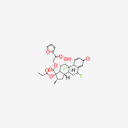 CCC(=O)O[C@]1(C(=O)OCC(=O)c2ccco2)[C@H](C)C[C@H]2[C@@H]3C[C@H](F)C4=CC(=O)C=C[C@]4(C)[C@@]3(F)[C@@H](O)C[C@@]21C